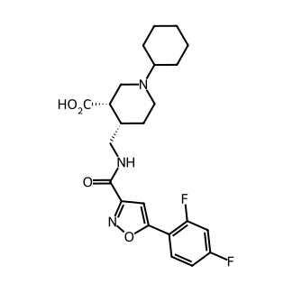 O=C(NC[C@H]1CCN(C2CCCCC2)C[C@H]1C(=O)O)c1cc(-c2ccc(F)cc2F)on1